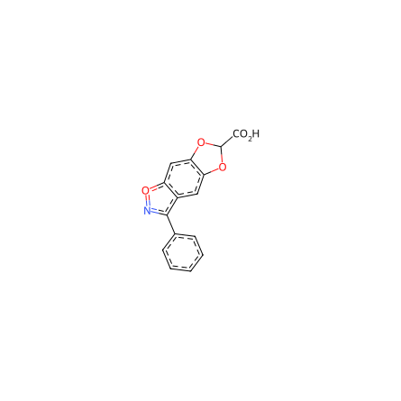 O=C(O)C1Oc2cc3onc(-c4ccccc4)c3cc2O1